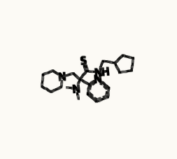 CN(C)C(CN1CCCCC1)(C(=S)NCC1CCCC1)c1ccccn1